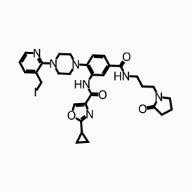 O=C(NCCCN1CCCC1=O)c1ccc(N2CCN(c3ncccc3CI)CC2)c(NC(=O)c2coc(C3CC3)n2)c1